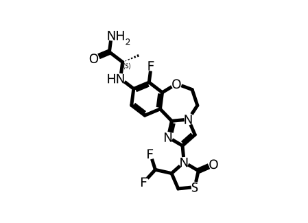 C[C@H](Nc1ccc2c(c1F)OCCn1cc(N3C(=O)SCC3C(F)F)nc1-2)C(N)=O